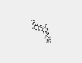 COCC1=CC(Oc2ccc(OCCC(C)(C)O)nc2C)CCC1